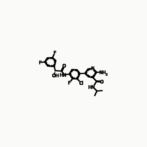 CC(C)NC(=O)c1cc(-c2ccc(NC(=O)[C@H](O)c3cc(F)cc(F)c3)c(F)c2Cl)cnc1N